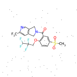 CS(=O)(=O)c1ccc(OCC(F)(F)C(F)F)c(C(=O)N2Cc3cnc(C(F)(F)F)cc3C2)c1